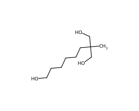 CC(CO)(CO)CCCCCCO